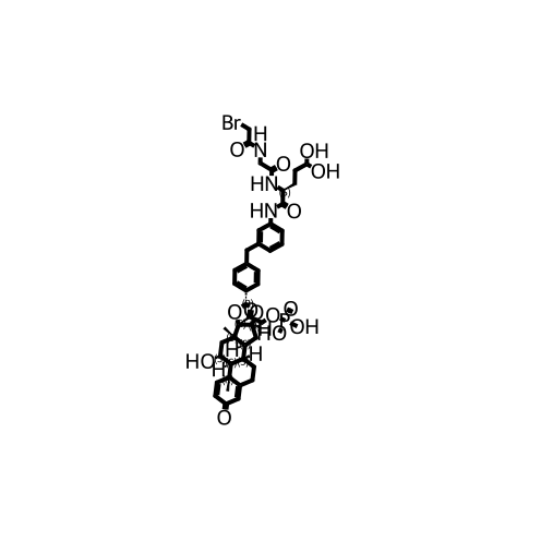 C[C@]12C=CC(=O)C=C1CC[C@@H]1[C@@H]2[C@@H](O)C[C@@]2(C)[C@H]1C[C@H]1O[C@@H](c3ccc(Cc4cccc(NC(=O)[C@H](CCC(O)O)NC(=O)CNC(=O)CBr)c4)cc3)O[C@]12C(=O)COP(=O)(O)O